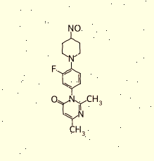 Cc1cc(=O)n(-c2ccc(N3CCC(N=O)CC3)c(F)c2)c(C)n1